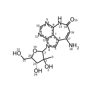 CC1(O)C(n2cc3c4c(ncnc42)NC(=O)C=C3N)OC(CO)[C@H]1O